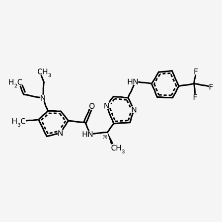 C=CN(CC)c1cc(C(=O)N[C@H](C)c2cnc(Nc3ccc(C(F)(F)F)cc3)cn2)ncc1C